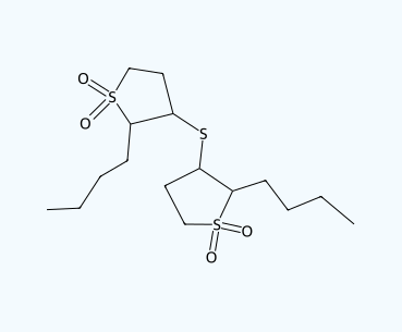 CCCCC1C(SC2CCS(=O)(=O)C2CCCC)CCS1(=O)=O